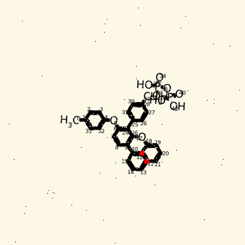 Cc1ccc(Oc2ccc(-c3ccccc3)c(Oc3ccccc3)c2-c2ccc(C)cc2)cc1.O=P(O)(O)OP(=O)(O)O